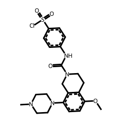 COc1ccc(N2CCN(C)CC2)c2c1CCN(C(=O)Nc1ccc(S(=O)(=O)Cl)cc1)C2